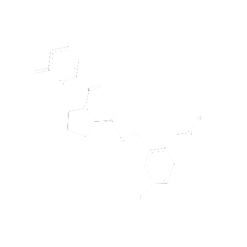 CC(C)(C)N(Cc1ccc(Cl)cc1CNC(=O)C1CCCN1C(=O)c1cccc(=O)[nH]1)C(=O)O